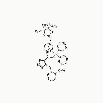 COc1ccccc1Cn1nnnc1C(CCCCB1OC(C)(C)C(C)(C)O1)NC(c1ccccc1)(c1ccccc1)c1ccccc1